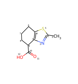 Cc1nc2c(s1)CCCC2C(=O)O